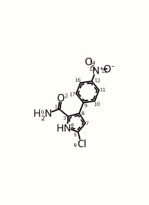 NC(=O)c1[nH]c(Cl)cc1-c1ccc([N+](=O)[O-])cc1